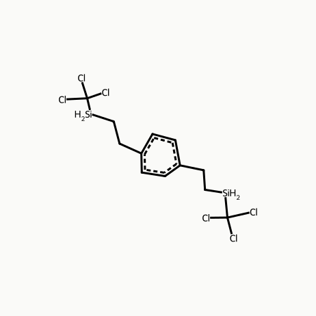 ClC(Cl)(Cl)[SiH2]CCc1ccc(CC[SiH2]C(Cl)(Cl)Cl)cc1